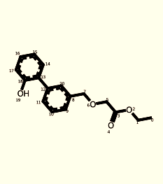 CCOC(=O)COCc1cccc(-c2ccccc2O)c1